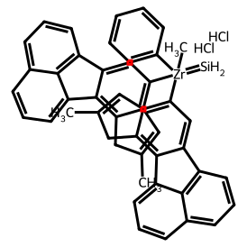 CC1=Cc2[c]([Zr]([CH3])(=[SiH2])([c]3ccccc3)[c]3cc4c(c5c3C=C(C)C5)-c3cccc5cccc-4c35)cc3c(c2C1)-c1cccc2cccc-3c12.Cl.Cl